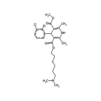 COC(=O)C1=C(C)NC(C)=C(C(=O)OCCSCCCN(C)C)C1c1cccc(Cl)c1Cl